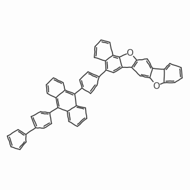 c1ccc(-c2ccc(-c3c4ccccc4c(-c4ccc(-c5cc6c7cc8oc9ccccc9c8cc7oc6c6ccccc56)cc4)c4ccccc34)cc2)cc1